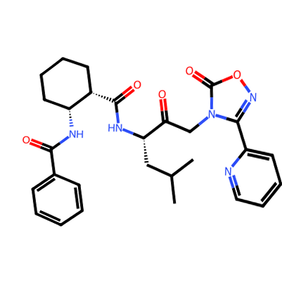 CC(C)C[C@H](NC(=O)[C@H]1CCCC[C@H]1NC(=O)c1ccccc1)C(=O)Cn1c(-c2ccccn2)noc1=O